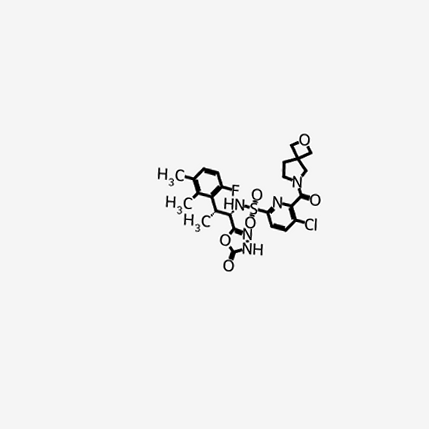 Cc1ccc(F)c([C@@H](C)[C@H](NS(=O)(=O)c2ccc(Cl)c(C(=O)N3CCC4(COC4)C3)n2)c2n[nH]c(=O)o2)c1C